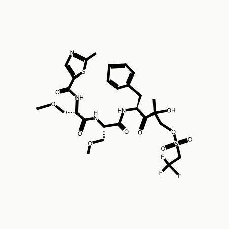 COC[C@H](NC(=O)c1cnc(C)s1)C(=O)N[C@@H](COC)C(=O)N[C@@H](Cc1ccccc1)C(=O)C(C)(O)COS(=O)(=O)CC(F)(F)F